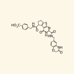 O=C1COc2ccc(CNC(=O)c3nc4sc5c(c4c(=O)[nH]3)C(C(=O)NCc3ccc(C(=O)O)cc3)CC5)cc2N1